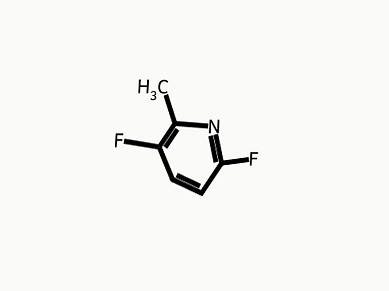 Cc1nc(F)ccc1F